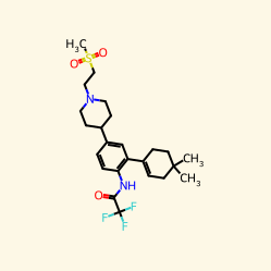 CC1(C)CC=C(c2cc(C3CCN(CCS(C)(=O)=O)CC3)ccc2NC(=O)C(F)(F)F)CC1